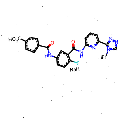 CC(C)n1cnnc1-c1cccc(NC(=O)c2cc(NC(=O)c3ccc(C(=O)O)cc3)ccc2F)n1.[NaH]